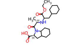 CCOC(=O)C(CC1CCCCC1)N[C@@H](C)C(=O)N1C2CCCCC2C[C@H]1C(=O)O